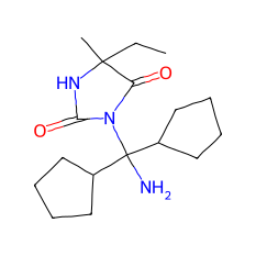 CCC1(C)NC(=O)N(C(N)(C2CCCC2)C2CCCC2)C1=O